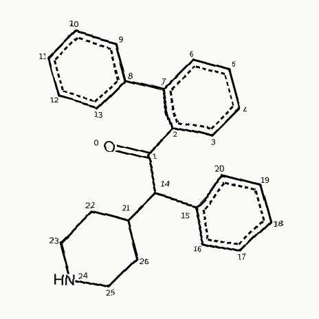 O=C(c1ccccc1-c1ccccc1)C(c1ccccc1)C1CCNCC1